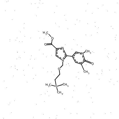 COC(=O)c1cn(COCCS(C)(C)C)c(-c2cc(C)c(=O)n(C)c2)n1